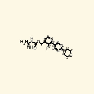 N=C(N)NC(=O)OCc1ccnc(-c2cnc(N3CCOCC3)nc2)c1F